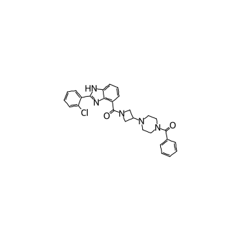 O=C(c1ccccc1)N1CCN(C2CN(C(=O)c3cccc4[nH]c(-c5ccccc5Cl)nc34)C2)CC1